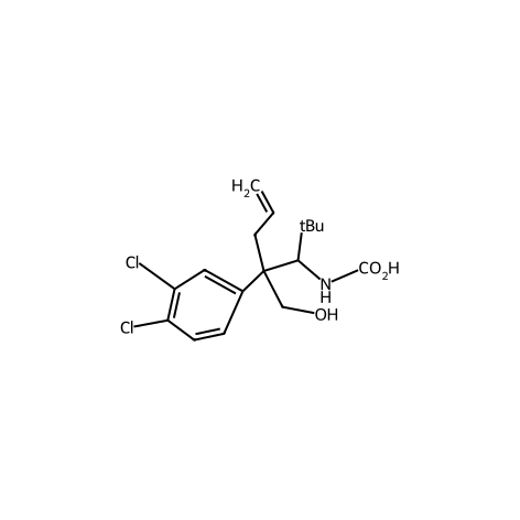 C=CCC(CO)(c1ccc(Cl)c(Cl)c1)C(NC(=O)O)C(C)(C)C